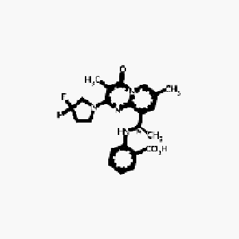 Cc1cc([C@@H](C)Nc2ccccc2C(=O)O)c2nc(N3CCC(F)(F)C3)c(C)c(=O)n2c1